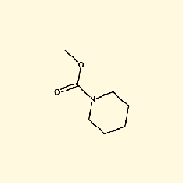 [CH]OC(=O)N1CCCCC1